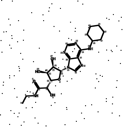 CCNC(=O)C(O)[C@H]1O[C@@H](n2cnc3c(NC4CCCCC4)ncnc32)[C@H](O)[C@@H]1O